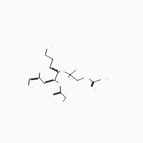 C=C(C)OCC(C)(C)NC(=C\CCC)/C(=C\C(Br)=C/C)NC(=O)CC